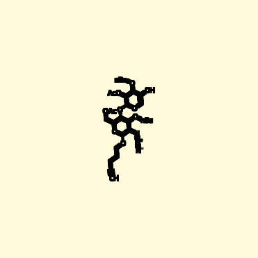 C#CCCCO[C@@H]1OC(COC(C)=O)[C@@H](O[C@@H]2OC=C(O)C(OCCCC)C2OC(C)=O)C(OCCCC)C1N=[N+]=[N-]